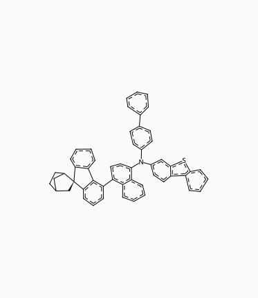 c1ccc(-c2ccc(N(c3ccc4c(c3)sc3ccccc34)c3ccc(-c4cccc5c4-c4ccccc4[C@]54CC5CCC4C5)c4ccccc34)cc2)cc1